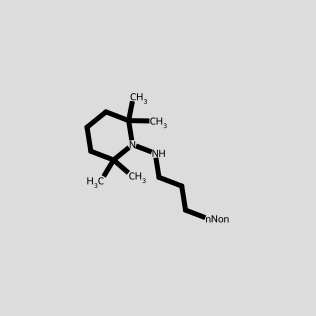 CCCCCCCCCCCCNN1C(C)(C)CCCC1(C)C